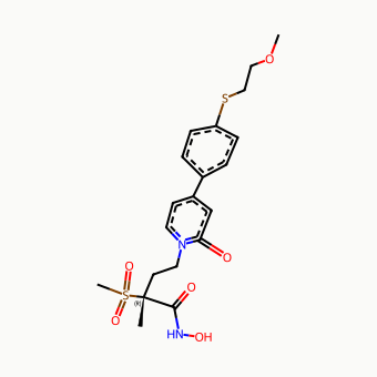 COCCSc1ccc(-c2ccn(CC[C@](C)(C(=O)NO)S(C)(=O)=O)c(=O)c2)cc1